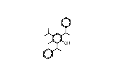 Cc1c(C(C)C)cc(C(C)c2ccccc2)c(O)c1C(C)c1ccccc1